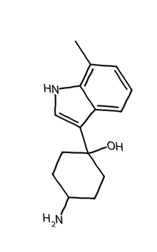 Cc1cccc2c(C3(O)CCC(N)CC3)c[nH]c12